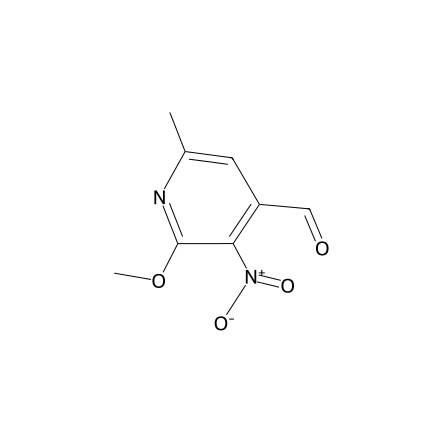 COc1nc(C)cc(C=O)c1[N+](=O)[O-]